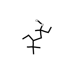 CCC(CC(C)(CC)OCl)C(C)(C)C